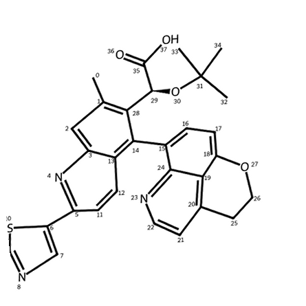 Cc1cc2nc(-c3cncs3)ccc2c(-c2ccc3c4c(ccnc24)CCO3)c1[C@H](OC(C)(C)C)C(=O)O